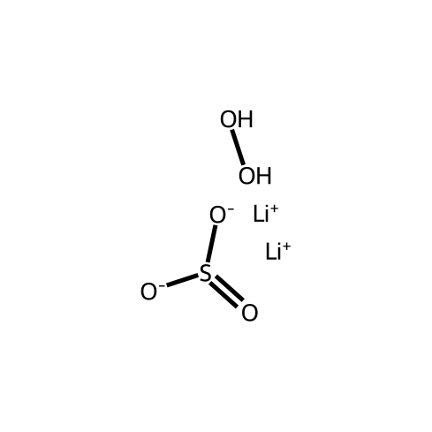 O=S([O-])[O-].OO.[Li+].[Li+]